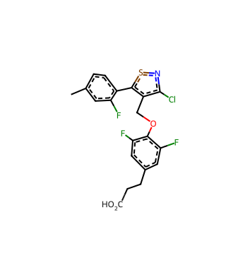 Cc1ccc(-c2snc(Cl)c2COc2c(F)cc(CCC(=O)O)cc2F)c(F)c1